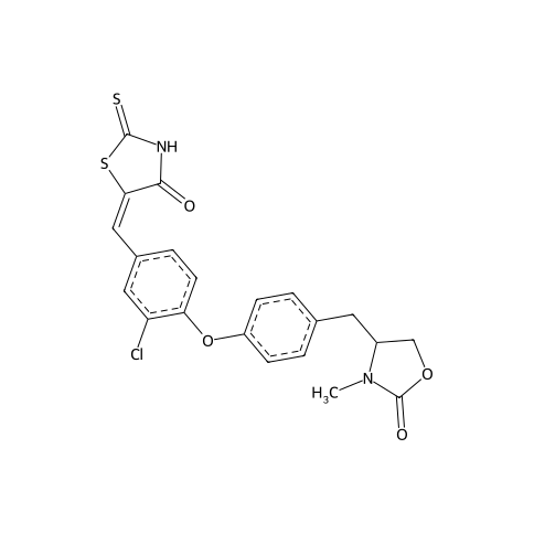 CN1C(=O)OCC1Cc1ccc(Oc2ccc(C=C3SC(=S)NC3=O)cc2Cl)cc1